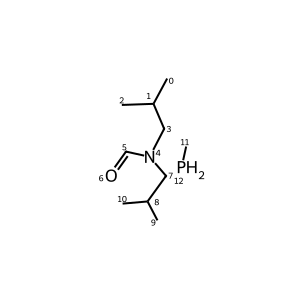 CC(C)CN(C=O)CC(C)C.CP